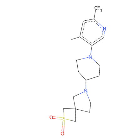 Cc1cc(C(F)(F)F)ncc1N1CCC(N2CCC3(C2)CS(=O)(=O)C3)CC1